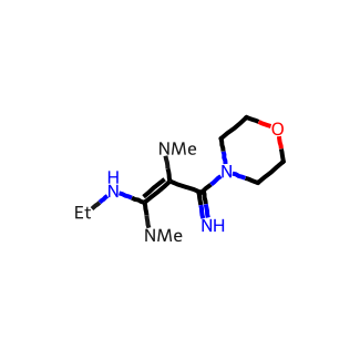 CCN/C(NC)=C(\NC)C(=N)N1CCOCC1